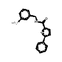 O=C(O)c1cccc(CNC(=O)c2ccc(-c3ccccc3)o2)c1